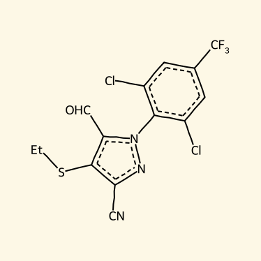 CCSc1c(C#N)nn(-c2c(Cl)cc(C(F)(F)F)cc2Cl)c1C=O